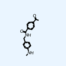 CNc1ccc(CNC(=O)c2ccc(C(C)=O)cc2)cc1